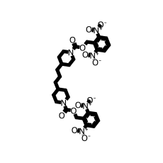 O=C(OCc1c([N+](=O)[O-])cccc1[N+](=O)[O-])N1CCC(CCCC2CCN(C(=O)OCc3c([N+](=O)[O-])cccc3[N+](=O)[O-])CC2)CC1